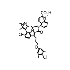 Cc1cc(OCCCc2c3n(c4c(-c5c(C)nn(C)c5C)c(Cl)ccc24)C(C)CN(c2cccc4nc(C(=O)O)ccc24)C3=O)cc(C)c1Cl